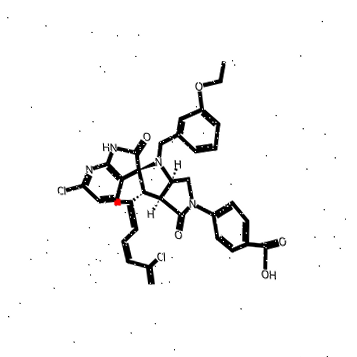 C=C(Cl)/C=C\C=C(/F)[C@H]1[C@@H]2C(=O)N(c3ccc(C(=O)O)cc3)C[C@@H]2N(Cc2cccc(OCC)c2)[C@@]12C(=O)Nc1nc(Cl)ccc12